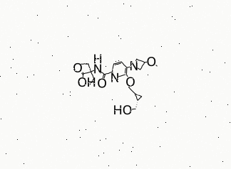 CCC(CC)(NC(=O)c1ccc(N2CC(OC)C2)c(OCC2C[C@@H]2CO)n1)C(=O)O